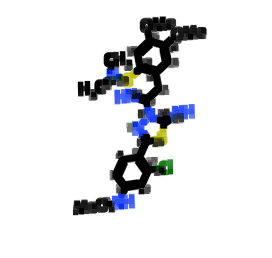 CONc1ccc(-c2nn(C(=N)Cc3cc(OC)c(OC)cc3SN(C)C)c(=N)s2)c(Cl)c1